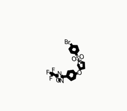 O=S(=O)(c1ccc(Br)cc1)N1CCC(Oc2ccc(-c3noc(C(F)(F)F)n3)cc2)C1